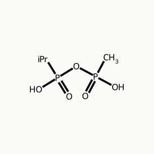 CC(C)P(=O)(O)OP(C)(=O)O